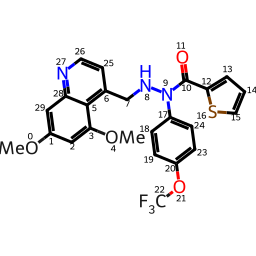 COc1cc(OC)c2c(CNN(C(=O)c3cccs3)c3ccc(OC(F)(F)F)cc3)ccnc2c1